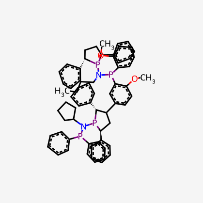 CCCCN(P(c1ccccc1OC)c1cc(C2C[C@@H](c3ccccc3)P(N(C3CCCC3)P(c3ccccc3)c3ccccc3)[C@@H]2c2ccccc2)ccc1OC)P1[C@H](c2ccccc2)CC[C@H]1c1ccccc1